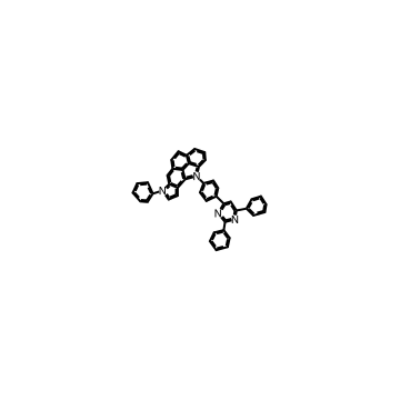 c1ccc(-c2cc(-c3ccc(-n4c5cccc6ccc7cc8c(ccn8-c8ccccc8)c4c7c65)cc3)nc(-c3ccccc3)n2)cc1